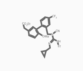 CCNC(=NCC1CC1)N(C#N)Cc1cc(C(F)(F)F)ccc1-c1cc(CC(=O)OCC)ccc1OC